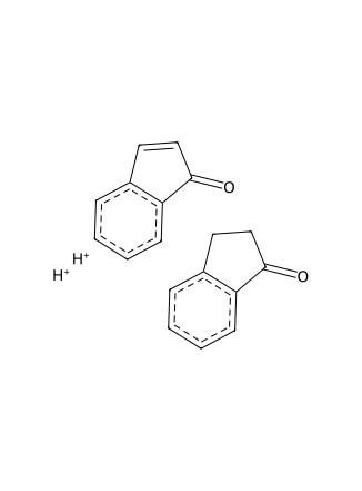 O=C1C=Cc2ccccc21.O=C1CCc2ccccc21.[H+].[H+]